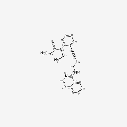 COC(=O)N(OC)c1ccccc1C#CCCNc1ncnc2ccccc12